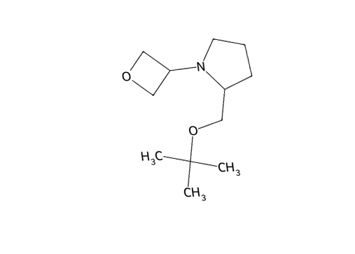 CC(C)(C)OCC1CCCN1C1COC1